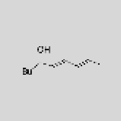 CC=CC=CC(O)C(C)CC